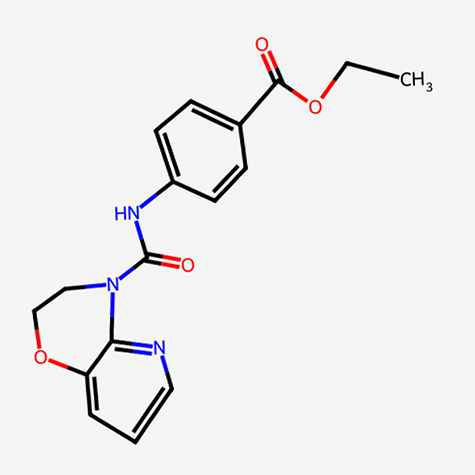 CCOC(=O)c1ccc(NC(=O)N2CCOc3cccnc32)cc1